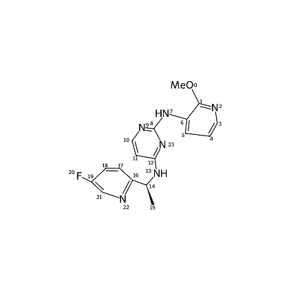 COc1ncccc1Nc1nccc(N[C@@H](C)c2ccc(F)cn2)n1